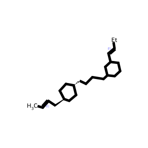 C/C=C/C[C@H]1CC[C@H](CCCCC2CCCC(/C=C/CC)C2)CC1